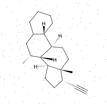 C#C[C@@H]1CC[C@H]2[C@H]3[C@H](CC[C@]12C)[C@H]1CCCCC1C[C@H]3C